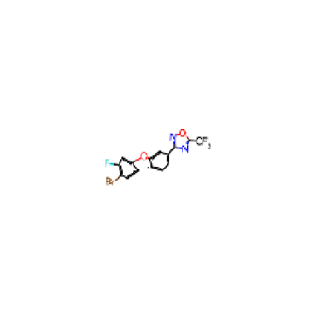 Fc1cc(Oc2[c]ccc(-c3noc(C(F)(F)F)n3)c2)ccc1Br